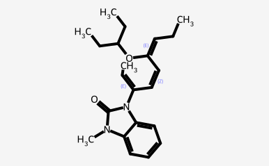 C\C=C(/C=C\C(=C/CC)OC(CC)CC)n1c(=O)n(C)c2ccccc21